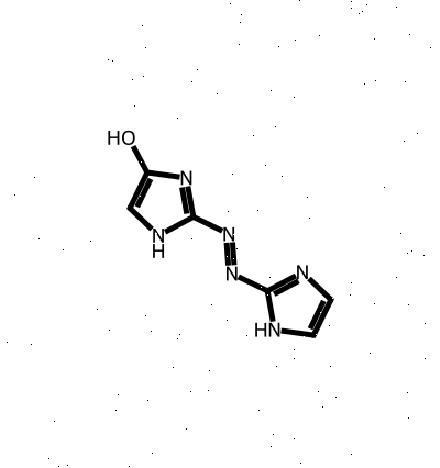 Oc1c[nH]c(N=Nc2ncc[nH]2)n1